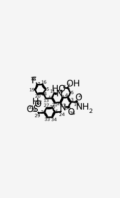 NC(=O)c1c(CC(O)O)c2ncc(Cc3ccc(F)cc3)cc2n(Cc2ccc(C[SH](=O)=O)cc2)c1=O